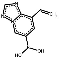 C=Cc1cc(B(O)O)cn2ncnc12